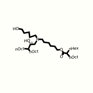 CCCCCCCCC(CCCCCC)C(=O)OCCCCCCN(CCCCCO)C[C@@H](O)C(CCCCCCCC)CCCCCCCC